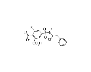 CCN(CC)c1c(F)cc(S(=O)(=O)N(C)C(Cl)Cc2ccccc2)cc1C(=O)O